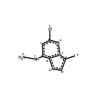 NNc1cc(Cl)nn2c(I)cnc12